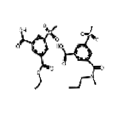 CCCN(C)C(=O)c1cc(C(=O)O)cc(S(C)(=O)=O)c1.CCOC(=O)c1cc(C(=O)O)cc(S(C)(=O)=O)c1